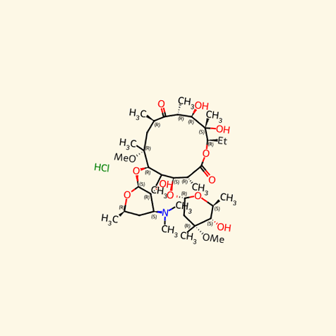 CC[C@H]1OC(=O)[C@H](C)[C@@H](O[C@H]2C[C@@](C)(OC)[C@@H](O)[C@H](C)O2)C(C)[C@@H](O[C@@H]2O[C@H](C)C[C@H](N(C)C)[C@H]2O)[C@](C)(OC)C[C@@H](C)C(=O)[C@H](C)[C@@H](O)[C@]1(C)O.Cl